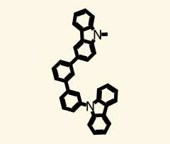 Cn1c2ccccc2c2cc(-c3cccc(-c4cccc(-n5c6ccccc6c6ccccc65)c4)c3)ccc21